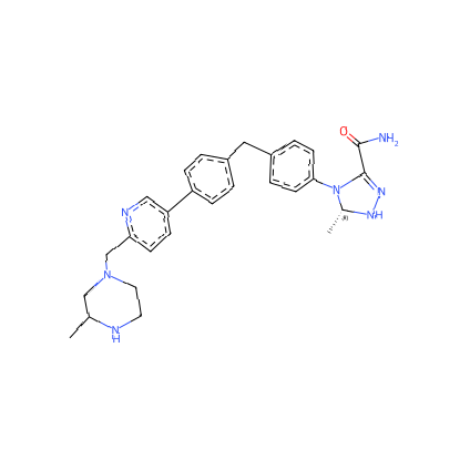 CC1CN(Cc2ccc(-c3ccc(Cc4ccc(N5C(C(N)=O)=NN[C@@H]5C)cc4)cc3)cn2)CCN1